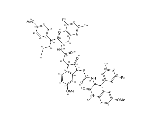 COc1ccc(N(C)C(=O)[C@H](Cc2cc(F)cc(F)c2)NC(=O)Cn2c(=O)n(CC(=O)N[C@@H](Cc3cc(F)cc(F)c3)C(=O)N(CCF)c3ccc(OC)cc3)c3ccc(OC)cc32)cc1